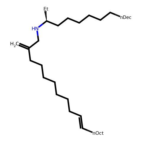 C=C(CCCCCCC/C=C/CCCCCCCC)CN[C@@H](CC)CCCCCCCCCCCCCCCC